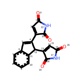 O=C1C=C(C2=Cc3ccccc3C2C2=CC(=O)NC2=O)C(=O)N1